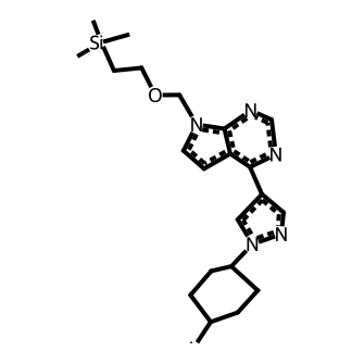 [CH2]C1CCC(n2cc(-c3ncnc4c3ccn4COCC[Si](C)(C)C)cn2)CC1